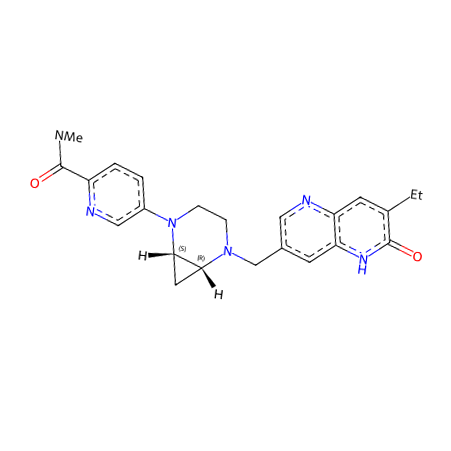 CCc1cc2ncc(CN3CCN(c4ccc(C(=O)NC)nc4)[C@H]4C[C@H]43)cc2[nH]c1=O